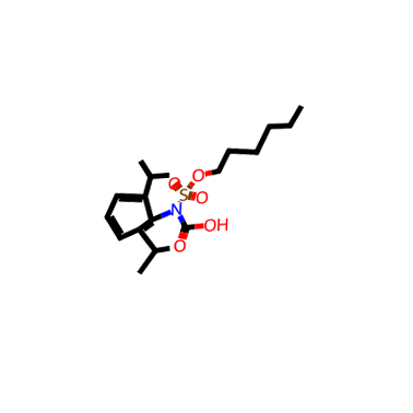 CCCCCCOS(=O)(=O)N(C(=O)O)c1c(C(C)C)cccc1C(C)C